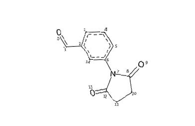 O=[C]c1cccc(N2C(=O)CCC2=O)c1